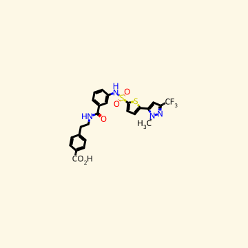 Cn1nc(C(F)(F)F)cc1-c1ccc(S(=O)(=O)Nc2cccc(C(=O)NCCc3ccc(C(=O)O)cc3)c2)s1